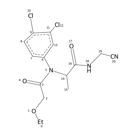 CCOCC(=O)N(c1ccc(Cl)c(Cl)c1)C(C)C(=O)NCC#N